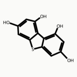 Oc1cc(O)c2c(c1)sc1cc(O)cc(O)c12